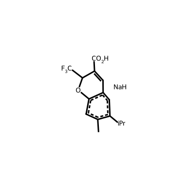 Cc1cc2c(cc1C(C)C)C=C(C(=O)O)C(C(F)(F)F)O2.[NaH]